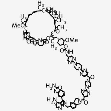 CO[C@H]1C[C@@H]2CC[C@@H](C)[C@@](O)(O2)C(=O)C(=O)N2CCCC[C@H]2C(=O)O[C@H]([C@H](C)C[C@@H]2CC[C@@H](OC(=O)NCc3cnc(N4CCN(c5ncc(C(=O)N6CCN(c7ncc(C(=O)N8CCc9cc(Cn%10nc(-c%11ccc%12oc(N)nc%12c%11)c%11c(N)ncnc%11%10)ccc9C8)cn7)CC6)cn5)CC4)nc3)[C@H](OC)C2)CC(=O)[C@H](C)/C=C(\C)[C@@H](O)[C@@H](O)C(=O)[C@H](C)C[C@H](C)/C=C/C=C/C=C/1C